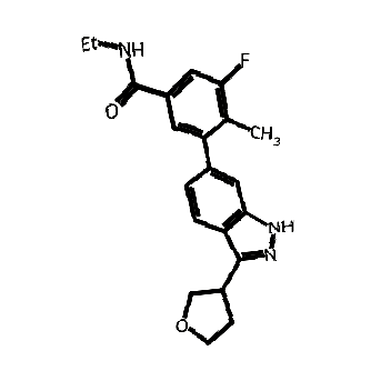 CCNC(=O)c1cc(F)c(C)c(-c2ccc3c(C4CCOC4)n[nH]c3c2)c1